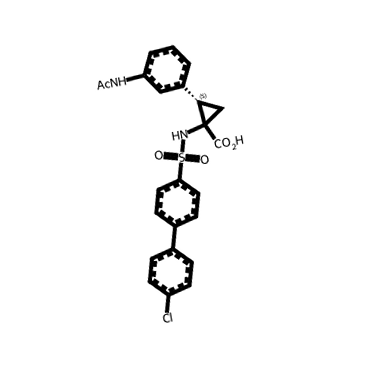 CC(=O)Nc1cccc([C@@H]2CC2(NS(=O)(=O)c2ccc(-c3ccc(Cl)cc3)cc2)C(=O)O)c1